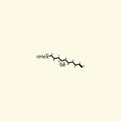 C=CCCCCCCCCCCCCCC.[Se]